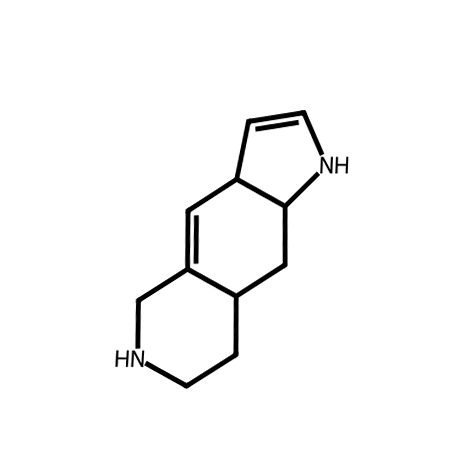 C1=CC2C=C3CNCCC3CC2N1